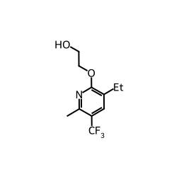 CCc1cc(C(F)(F)F)c(C)nc1OCCO